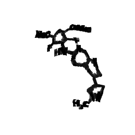 COc1cc(OC)c(F)c(Nc2cc3cc(-c4cnn(C)c4)cnc3cn2)c1F